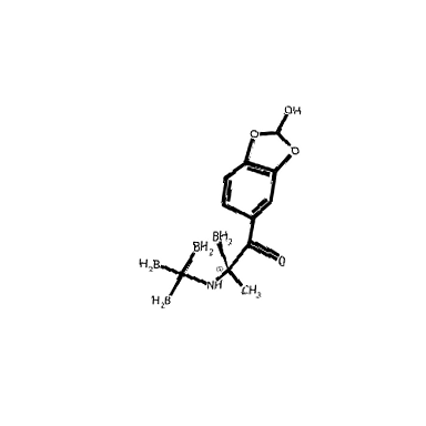 BC(B)(B)N[C@@](B)(C)C(=O)c1ccc2c(c1)OC(O)O2